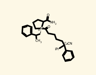 CC(C[N@+]1(C(=O)CCCC[C@@](C#N)(c2ccccc2)C(C)C)CCCC1C(N)=O)c1ccccc1